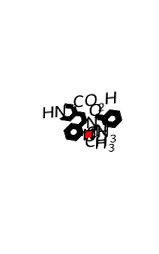 CN(C)c1ccccc1C(CC1CCNCC1C(=O)O)n1c(=O)[nH]c2ccccc2c1=O